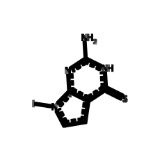 Nc1nc2c(ccn2I)c(=S)[nH]1